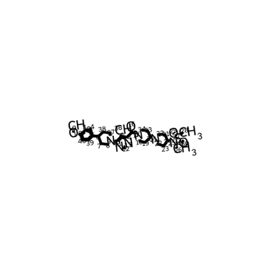 COc1ccc(C2CCN(c3ncnc(C(=O)N4CCC(N5CCC(N(C)S(C)(=O)=O)CC5)CC4)c3C)CC2)cc1